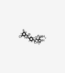 CN(C(=O)c1nc[nH]c1C(N)=O)c1ccc(NC(=O)c2cc(F)cc(Cl)c2)cc1